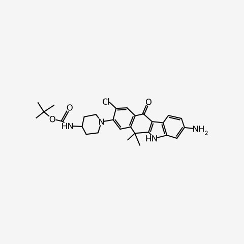 CC(C)(C)OC(=O)NC1CCN(c2cc3c(cc2Cl)C(=O)c2c([nH]c4cc(N)ccc24)C3(C)C)CC1